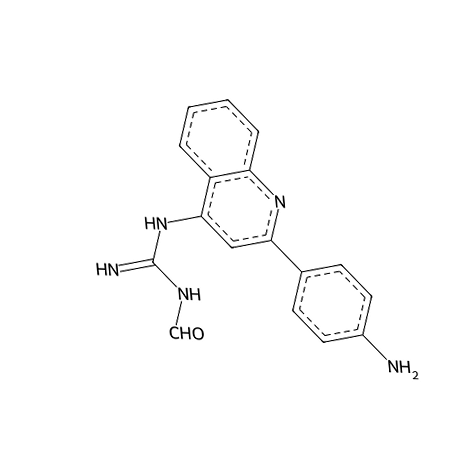 N=C(NC=O)Nc1cc(-c2ccc(N)cc2)nc2ccccc12